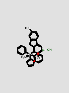 Cc1ccc2c(c1)Cc1c-2ccc(C)[c]1[Zr](=[SiH2])([C]1=CC=CC1)([c]1ccccc1)[c]1ccccc1.Cl.Cl